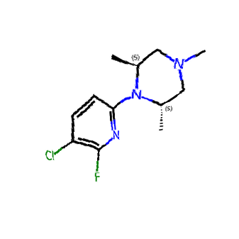 C[C@H]1CN(C)C[C@H](C)N1c1ccc(Cl)c(F)n1